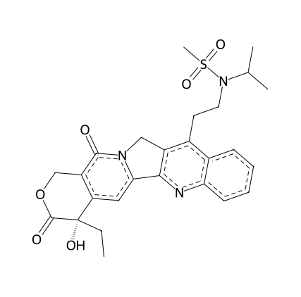 CC[C@@]1(O)C(=O)OCc2c1cc1n(c2=O)Cc2c-1nc1ccccc1c2CCN(C(C)C)S(C)(=O)=O